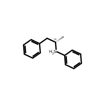 C[C@@H](Cc1ccccc1)[SiH2]c1ccccc1